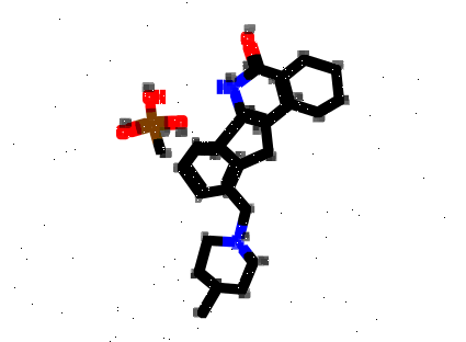 CC1CCN(Cc2cccc3c2Cc2c-3[nH]c(=O)c3c2CCCC3)CC1.CS(=O)(=O)O